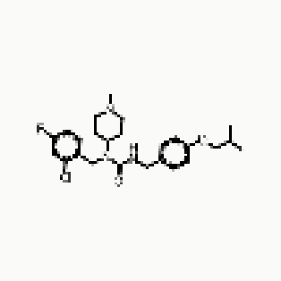 CC(C)COc1ccc(CNC(=O)N(Cc2ccc(F)cc2Cl)C2CCN(C)CC2)cc1